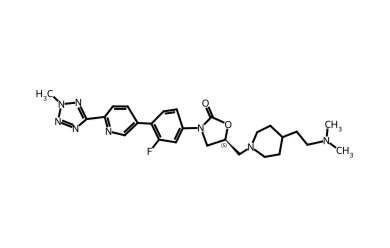 CN(C)CCC1CCN(C[C@H]2CN(c3ccc(-c4ccc(-c5nnn(C)n5)nc4)c(F)c3)C(=O)O2)CC1